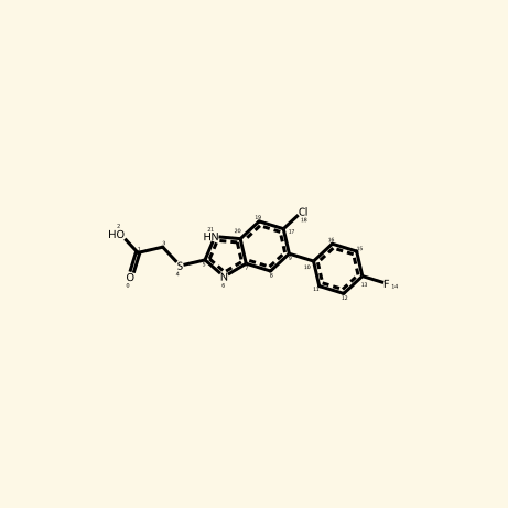 O=C(O)CSc1nc2cc(-c3ccc(F)cc3)c(Cl)cc2[nH]1